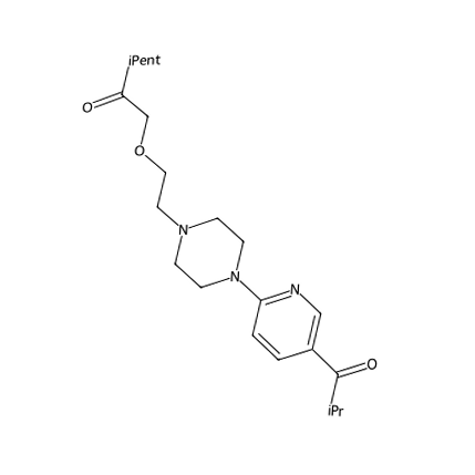 CCCC(C)C(=O)COCCN1CCN(c2ccc(C(=O)C(C)C)cn2)CC1